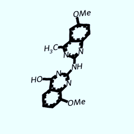 COc1ccc2nc(Nc3nc(O)c4cccc(OC)c4n3)nc(C)c2c1